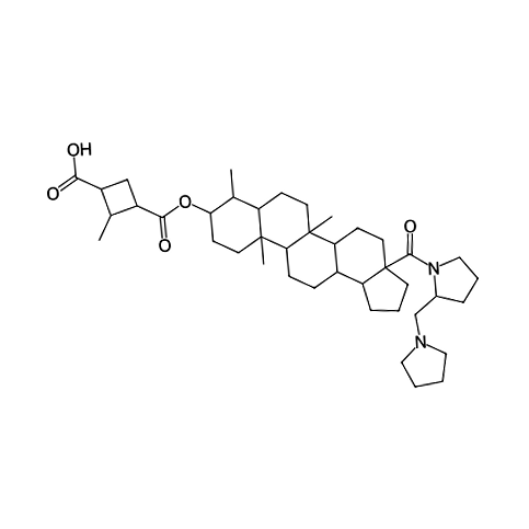 CC1C(C(=O)O)CC1C(=O)OC1CCC2(C)C(CCC3(C)C4CCC5(C(=O)N6CCCC6CN6CCCC6)CCCC5C4CCC23)C1C